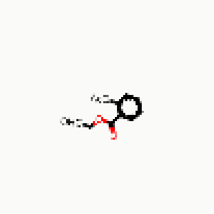 CC(=O)Oc1ccccc1C(=O)OCC=O